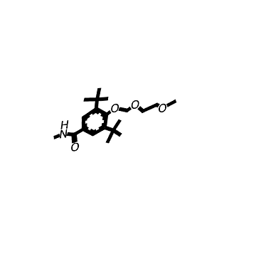 CNC(=O)c1cc(C(C)(C)C)c(OCOCCOC)c(C(C)(C)C)c1